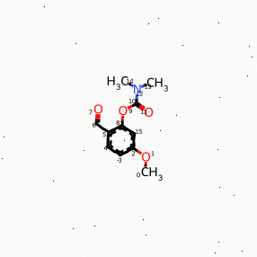 COc1ccc(C=O)c(OC(=O)N(C)C)c1